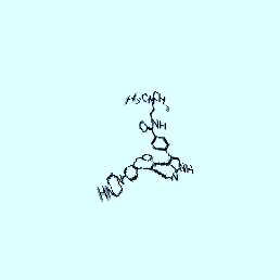 CN(C)CCNC(=O)c1ccc(-c2c[nH]c3ncc4c(c23)OCc2cc(N3CCNCC3)ccc2-4)cc1